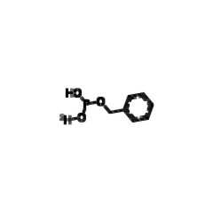 [3H]OP(O)OCc1ccccc1